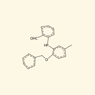 Cc1ccc(OCc2ccccc2)c(Pc2ccccc2C=O)c1